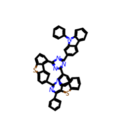 c1ccc(-c2nc(-c3ccc4c5ccccc5n(-c5ccccc5)c4c3)nc(-c3cccc4sc5ccc(-c6nc(-c7ccccc7)c7sc8ccccc8c7n6)cc5c34)n2)cc1